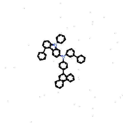 c1ccc(-c2cccc(N(c3ccc(-c4cc5ccccc5c5ccccc45)cc3)c3ccc4c5c(-c6ccccc6)cccc5n(-c5ccccc5)c4c3)c2)cc1